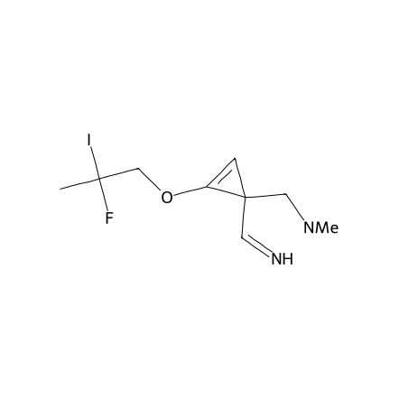 CNCC1(C=N)C=C1OCC(C)(F)I